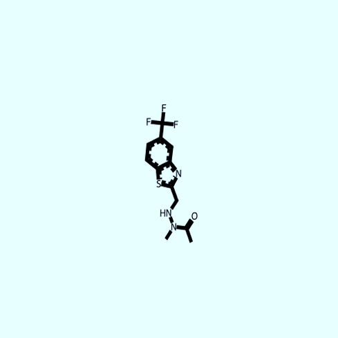 CC(=O)N(C)NCc1nc2cc(C(F)(F)F)ccc2s1